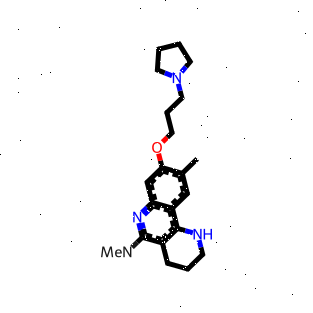 CNc1nc2cc(OCCCN3CCCC3)c(C)cc2c2c1CCCN2